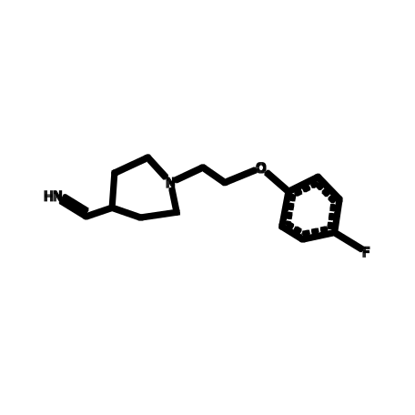 N=CC1CCN(CCOc2ccc(F)cc2)CC1